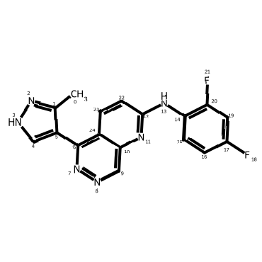 Cc1n[nH]cc1-c1nncc2nc(Nc3ccc(F)cc3F)ccc12